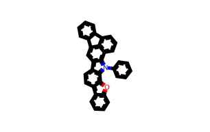 c1ccc(-n2c3c4cccc5c4c(cc3c3ccc4c6ccccc6oc4c32)-c2ccccc2-5)cc1